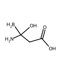 BC(N)(O)CC(=O)O